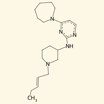 CCC=CCN1CCCC(Nc2nccc(N3CCCCCC3)n2)C1